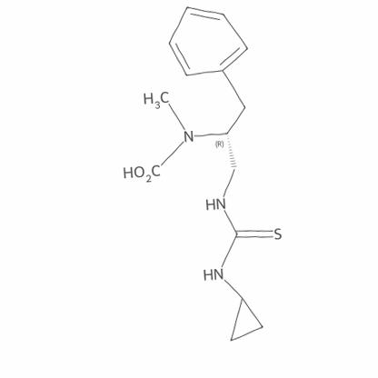 CN(C(=O)O)[C@@H](CNC(=S)NC1CC1)Cc1ccccc1